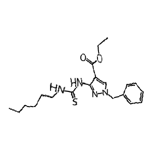 CCCCCCNC(=S)Nc1nn(Cc2ccccc2)cc1C(=O)OCC